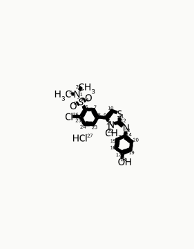 CN(C)S(=O)(=O)c1cc(-c2csc(=Nc3ccc(O)cc3)n2C)ccc1Cl.Cl